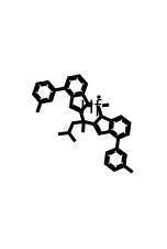 Cc1cccc(-c2cccc3c2C=C2[CH]3[Hf]([CH3])([CH3])[CH]3C(=Cc4c(-c5cccc(C)c5)cccc43)C2(C)CC(C)C)c1